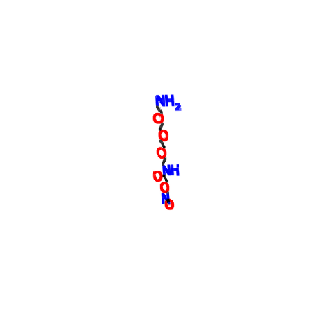 NCCOCCOCCOCCNC(=O)COCN=O